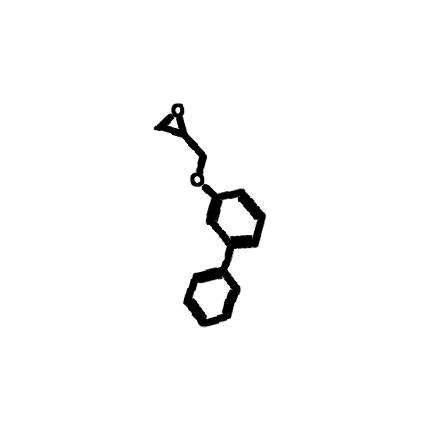 c1ccc(-c2cccc(OCC3CO3)c2)cc1